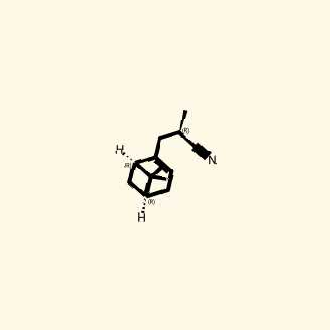 C[C@@H](C#N)CC1=CC[C@H]2C[C@@H]1C2(C)C